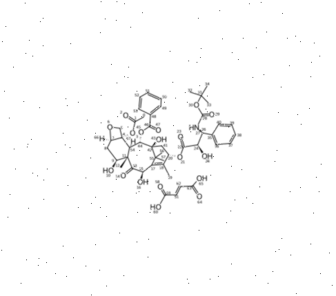 CC(=O)O[C@@]12CO[C@@H]1C[C@H](O)[C@@]1(C)C(=O)[C@H](O)C3=C(C)[C@@H](OC(=O)[C@H](O)[C@@H](NC(=O)OC(C)(C)C)c4ccccc4)C[C@@](O)([C@@H](OC(=O)c4ccccc4)[C@H]21)C3(C)C.O=C(O)C=CC(=O)O